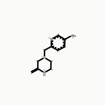 C=C1CN(Cc2ccc(C(C)(C)C)cn2)CCN1